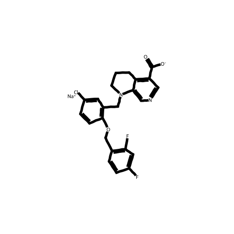 O=C([O-])c1cncc2c1CCCN2Cc1cc(Cl)ccc1OCc1ccc(F)cc1F.[Na+]